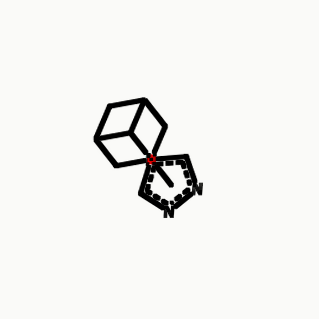 CN1CC2CC(C1)C2n1cnnc1